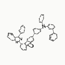 c1ccc(-c2cccc(N(c3ccccc3)c3ccc(-c4ccc5c(c4)oc4cccc(-c6nc(-c7ccccc7)c7ccccc7n6)c45)cc3)c2)cc1